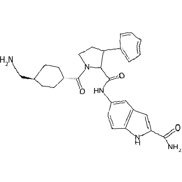 NC[C@H]1CC[C@H](C(=O)N2CCC(c3ccccc3)C2C(=O)Nc2ccc3[nH]c(C(N)=O)cc3c2)CC1